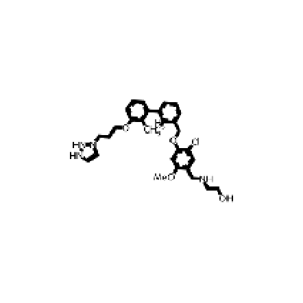 COc1cc(OCc2cccc(-c3cccc(OCCCN4C=CNN4)c3C)c2C)c(Cl)cc1CNCCO